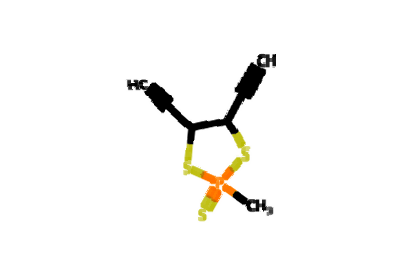 C#CC1SP(C)(=S)SC1C#C